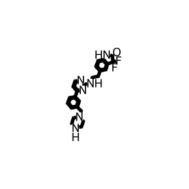 O=C1Nc2ccc(CCNc3nccc(-c4cccc(CN5CCNCC5)c4)n3)cc2C1(F)F